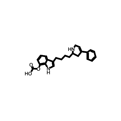 O=C(O)Oc1cccc2c(CCCCC3CC(c4ccccc4)=CCN3)c[nH]c12